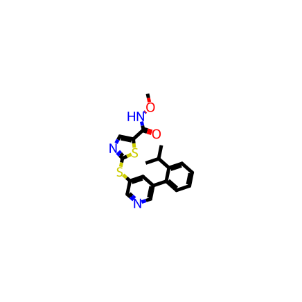 CONC(=O)c1cnc(Sc2cncc(-c3ccccc3C(C)C)c2)s1